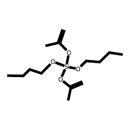 C=C(C)O[Si](OCCCC)(OCCCC)OC(=C)C